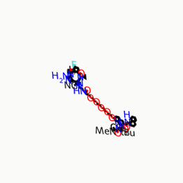 CN[C@@H](C)C(=O)N[C@H](C(=O)N1Cc2cc(OCCOCCOCCOCCOCCC(=O)NCCn3nc4c(c3C#N)-c3cnc(N)c(c3)N3CCC[C@@H]3c3cc(F)ccc3C(=O)N(C3CC3)C4)ccc2C[C@H]1C(=O)N[C@@H]1CCCc2ccccc21)C(C)(C)C